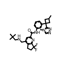 CC1CC(c2cccc(NC(=O)c3cc(CNCC(C)(C)C)c4c(n3)C(F)(F)CC4)c2)(c2nncn2C)C1